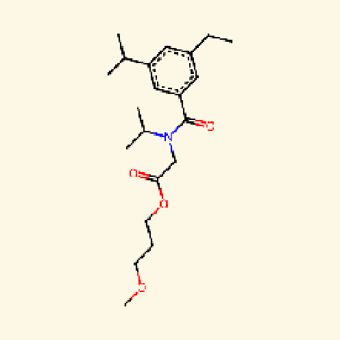 CCc1cc(C(=O)N(CC(=O)OCCCOC)C(C)C)cc(C(C)C)c1